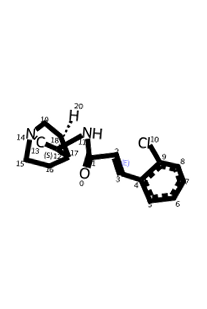 O=C(/C=C/c1ccccc1Cl)N[C@@H]1CN2CCC1CC2